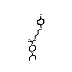 CCC(CC)N1CCN(C(=O)OCCCOc2ccc(Cl)cc2)CC1